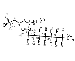 CCN(CCCS(=O)(=O)[O-])S(=O)(=O)C(F)(F)C(F)(F)C(F)(F)C(F)(F)C(F)(F)C(F)(F)C(F)(F)C(F)(F)F.[Na+]